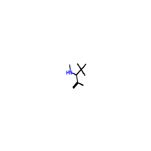 C=C(C)C(NC)C(C)(C)C